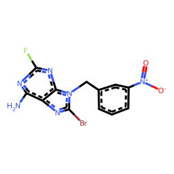 Nc1nc(F)nc2c1nc(Br)n2Cc1cccc([N+](=O)[O-])c1